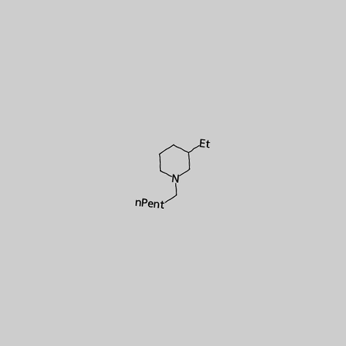 CCCCCCN1CCCC(CC)C1